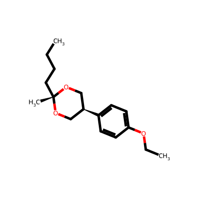 CCCC[C@]1(C)OC[C@@H](c2ccc(OCC)cc2)CO1